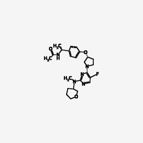 CC(=O)N[C@@H](C)c1ccc(O[C@@H]2CCN(c3nc(N(C)C4CCCOC4)ncc3F)C2)cc1